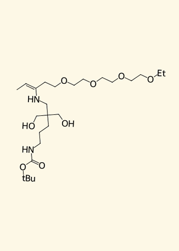 C/C=C(/CCOCCOCCOCCOCC)NCC(CO)(CO)CCCNC(=O)OC(C)(C)C